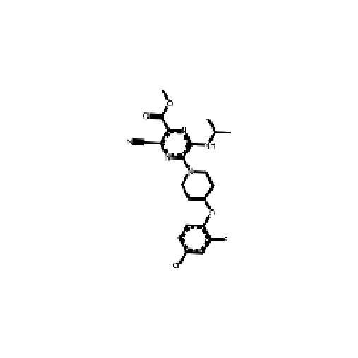 COC(=O)c1nc(NC(C)C)c(N2CCC(Oc3ccc(Cl)cc3F)CC2)nc1C#N